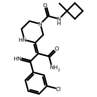 CC1(NC(=O)N2CCN/C(=C(\C(=N)c3cccc(Cl)c3)C(N)=O)C2)CCC1